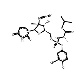 CC(C)OC(=O)[C@H](C)NP(=O)(OC[C@H]1OC(n2ccc(=O)[nH]c2=O)[C@](C)(N=[N+]=[N-])[C@@H]1O)Oc1ccc(Cl)c(Cl)c1